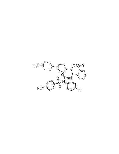 COc1ccccc1C(C(=O)N1CCN(C2CCN(C)CC2)CC1)n1c(=O)n(S(=O)(=O)c2ccc(C#N)cc2)c2ccc(Cl)cc21